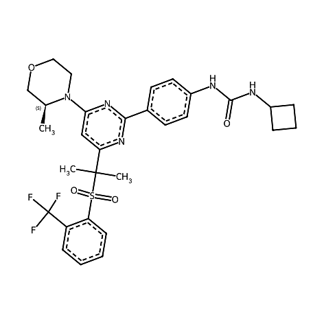 C[C@H]1COCCN1c1cc(C(C)(C)S(=O)(=O)c2ccccc2C(F)(F)F)nc(-c2ccc(NC(=O)NC3CCC3)cc2)n1